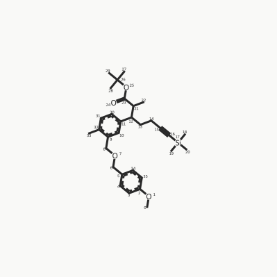 COc1ccc(COCc2cc(C(CCC#C[Si](C)(C)C)C(C)C(=O)OC(C)(C)C)ccc2C)cc1